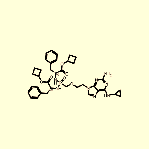 Nc1nc(NC2CC2)c2ncn(CCOCP(=O)(N[C@@H](Cc3ccccc3)C(=O)OC3CCC3)N[C@@H](Cc3ccccc3)C(=O)OC3CCC3)c2n1